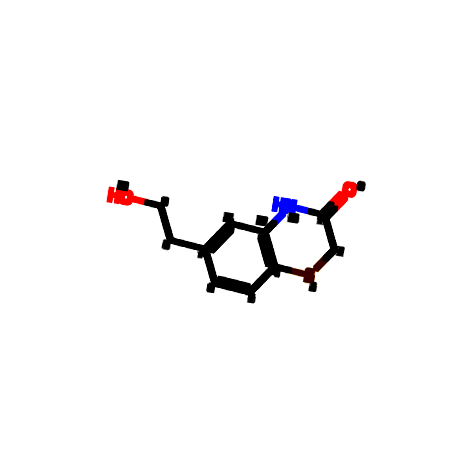 O=C1CSc2ccc(CCO)cc2N1